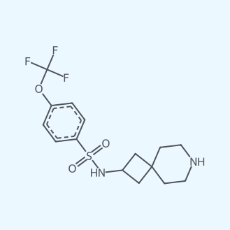 O=S(=O)(NC1CC2(CCNCC2)C1)c1ccc(OC(F)(F)F)cc1